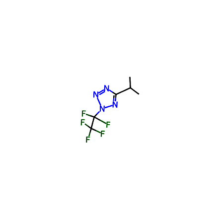 CC(C)c1nnn(C(F)(F)C(F)(F)F)n1